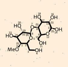 CO[C@@H]1C(CO)O[C@H](O[C@@H]2C(CO)O[C@H](O)[C@@H](O)C2O)[C@@H](O)C1O